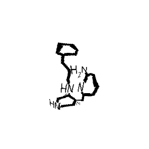 Nc1cccc(C[C@H]2CNC[C@@H]2NCCCc2ccccc2)n1